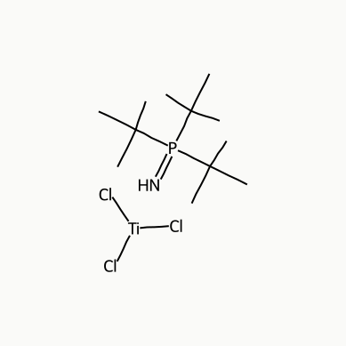 CC(C)(C)P(=N)(C(C)(C)C)C(C)(C)C.[Cl][Ti]([Cl])[Cl]